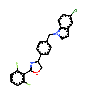 Fc1cccc(F)c1C1=NC(c2ccc(Cn3ccc4cc(Cl)ccc43)cc2)CO1